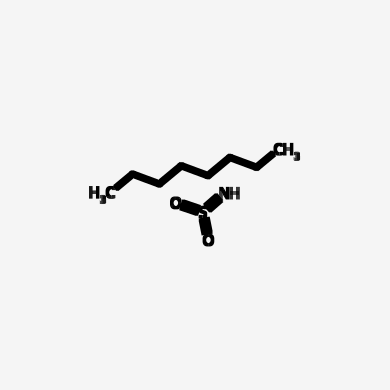 CCCCCCCC.N=S(=O)=O